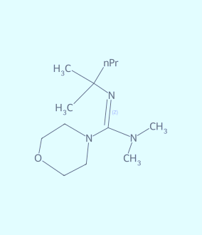 CCCC(C)(C)/N=C(/N(C)C)N1CCOCC1